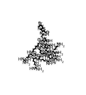 N=C(N)NCCCC(NC(=O)[C@@H](CCCNC(=N)N)NC(=O)CCCCCNC(=O)[C@H]1C[C@H](O)CN1Cc1nc2c(sc3cc(Br)cnc32)c(=O)[nH]1)C(=O)N[C@H](CCCNC(=N)N)C(=O)NC(CCCNC(=N)N)C(=O)N[C@H](CCCNC(=N)N)C(=O)NC(CCCNC(=N)N)C(=O)N[C@H](CCCCN)C(N)=O